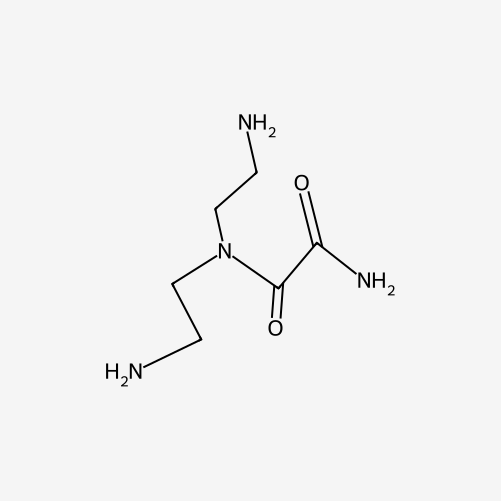 NCCN(CCN)C(=O)C(N)=O